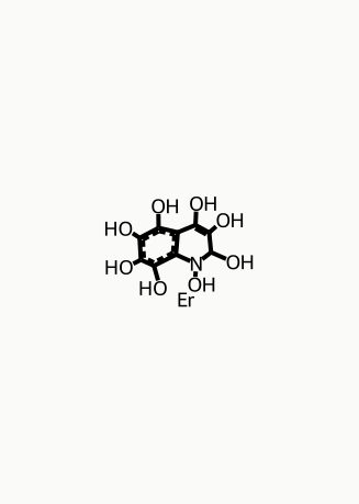 OC1=C(O)C(O)N(O)c2c(O)c(O)c(O)c(O)c21.[Er]